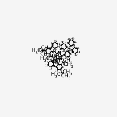 CC(C)(C)c1cc(C(C)(C)C)c2c(c1)c1ccccc1n2-c1nc(-c2cccc([Si](c3ccccc3)(c3ccccc3)c3ccccc3)c2)nc(-n2c3ccccc3c3cc(C(C)(C)C)cc(C(C)(C)C)c32)n1